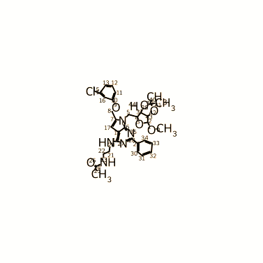 COC1OC(Cn2c(COc3cccc(Cl)c3)cc3c(NCCNC(C)=O)nc(-c4ccccc4)nc32)[C@H]2OC(C)(C)OC12